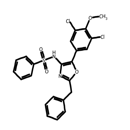 COc1c(Cl)cc(-c2oc(Cc3ccccc3)nc2NS(=O)(=O)c2ccccc2)cc1Cl